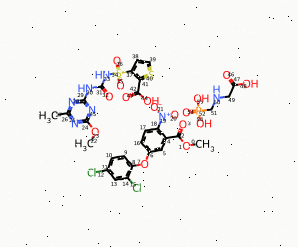 COC(=O)c1cc(Oc2ccc(Cl)cc2Cl)ccc1[N+](=O)[O-].COc1nc(C)nc(NC(=O)NS(=O)(=O)c2ccsc2C(=O)O)n1.O=C(O)CNCP(=O)(O)O